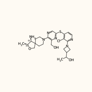 CC(O)C1CN(c2nccc(Sc3cnc(N4CCC5(CC4)CO[C@@H](C)[C@H]5N)c(CO)n3)c2Cl)C1